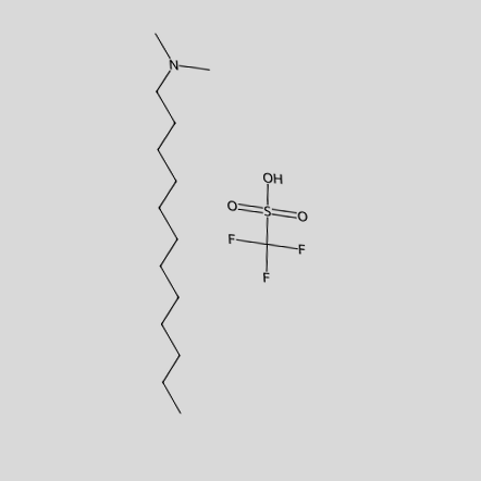 CCCCCCCCCCCCN(C)C.O=S(=O)(O)C(F)(F)F